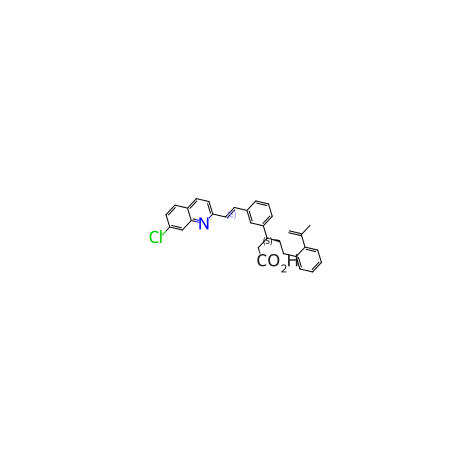 C=C(C)c1ccccc1CC[C@@H](CC(=O)O)c1cccc(/C=C/c2ccc3ccc(Cl)cc3n2)c1